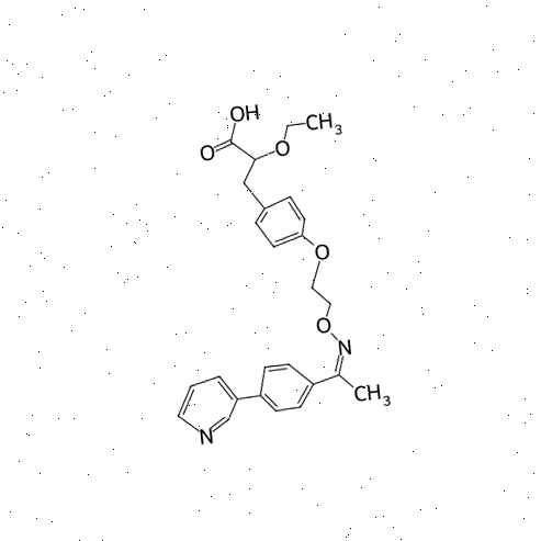 CCOC(Cc1ccc(OCCO/N=C(/C)c2ccc(-c3cccnc3)cc2)cc1)C(=O)O